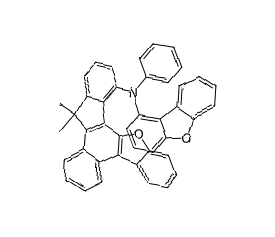 CC1(C)c2cccc(N(c3ccccc3)c3cccc4oc5ccccc5c34)c2-c2c1c1ccccc1c1c2oc2ccccc21